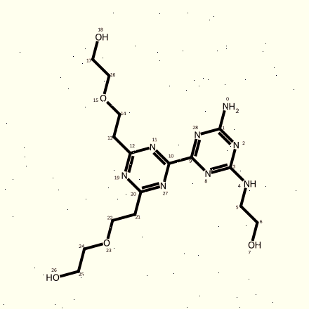 Nc1nc(NCCO)nc(-c2nc(CCOCCO)nc(CCOCCO)n2)n1